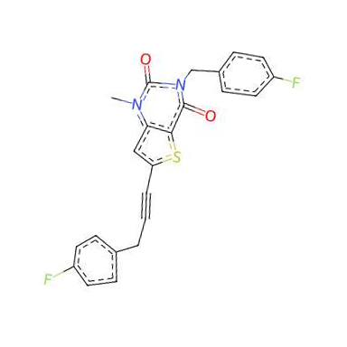 Cn1c(=O)n(Cc2ccc(F)cc2)c(=O)c2sc(C#CCc3ccc(F)cc3)cc21